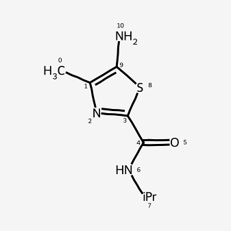 Cc1nc(C(=O)NC(C)C)sc1N